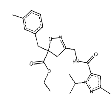 CCOC(=O)C1(Cc2cccc(C)c2)CC(CNC(=O)c2cc(C)nn2C(C)C)=NO1